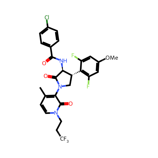 COc1cc(F)c([C@@H]2CN(c3c(C)ccn(CCC(F)(F)F)c3=O)C(=O)[C@H]2NC(=O)c2ccc(Cl)cc2)c(F)c1